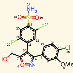 COc1cc(-c2noc(CO)c2-c2cc(F)c(S(N)(=O)=O)cc2F)ccc1Cl